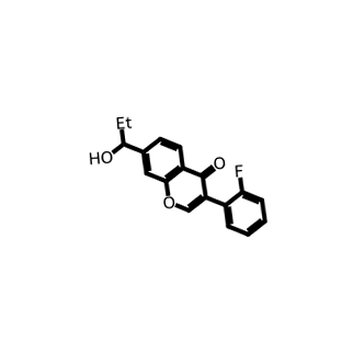 CCC(O)c1ccc2c(=O)c(-c3ccccc3F)coc2c1